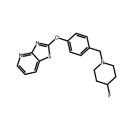 FC1CCN(Cc2ccc(Oc3nc4ncccc4s3)cc2)CC1